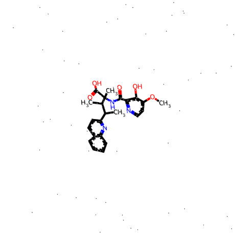 COc1ccnc(C(=O)NC(C)(C(=O)O)C(C)C(C)c2ccc3ccccc3n2)c1O